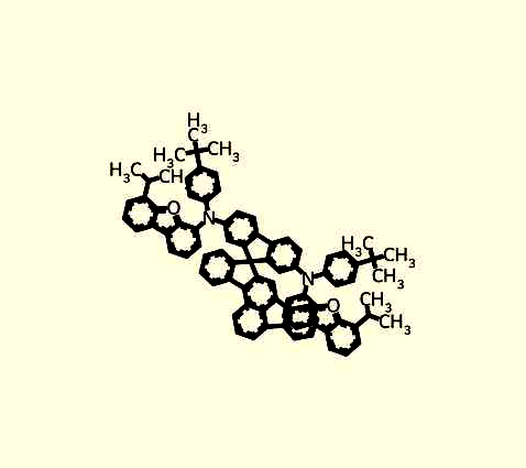 CC(C)c1cccc2c1oc1c(N(c3ccc(C(C)(C)C)cc3)c3ccc4c(c3)C3(c5cc(N(c6ccc(C(C)(C)C)cc6)c6cccc7c6oc6c(C(C)C)cccc67)ccc5-4)c4ccccc4-c4c3cc3c5c(cccc45)-c4ccccc4-3)cccc12